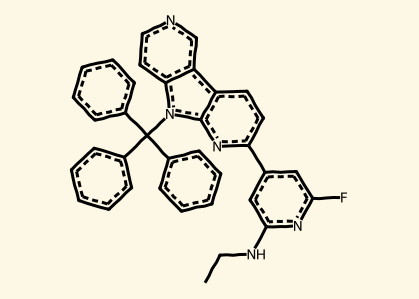 CCNc1cc(-c2ccc3c4cnccc4n(C(c4ccccc4)(c4ccccc4)c4ccccc4)c3n2)cc(F)n1